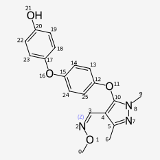 CO/N=C\c1c(C)nn(C)c1Oc1ccc(Oc2ccc(O)cc2)cc1